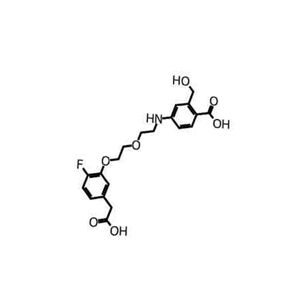 O=C(O)Cc1ccc(F)c(OCCOCCNc2ccc(C(=O)O)c(CO)c2)c1